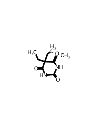 CCC1(CC)C(=O)NC(=O)NC1=O.O